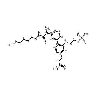 CCCCCCCNC(=O)N(C)c1cccc(-c2ccc(CCC(=O)O)cc2OCCCC(F)(F)F)n1